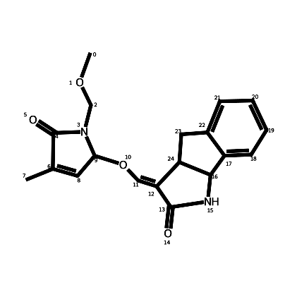 COCN1C(=O)C(C)=CC1O/C=C1/C(=O)NC2c3ccccc3CC12